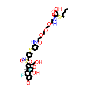 CCCCC(C)SC(CC(=O)O)C(=O)NCCOCCOCCOCCC(=O)Nc1cccc(Sc2ccc([C@@H](O[C@]3(C(=O)CO)CCC4[C@@H]5C[C@H](F)C6=CC(=O)C=C[C@]6(C)[C@@]5(F)[C@@H](O)C[C@@]43C)SN=O)cc2)c1